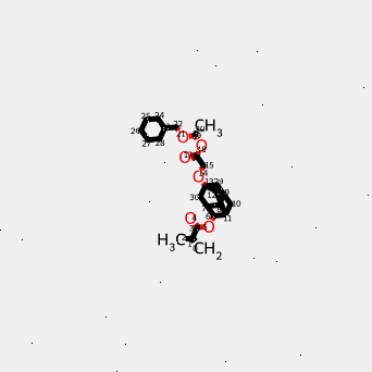 C=C(C)C(=O)OC1C2CC3CC1CC(OCC(=O)OC(C)OCC1CCCCC1)(C3)C2